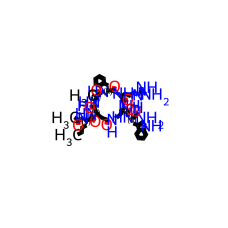 CCCC[C@H](NC(C)=O)C(=O)N[C@H]1CCC(=O)NCC[C@@H](C(=O)N[C@@H](Cc2c[nH]c3ccccc23)C(N)=O)NC(=O)C(CCCNC(=N)N)NC(=O)[C@@H](Cc2ccccc2)NC(=O)[C@H](C)NC1=O